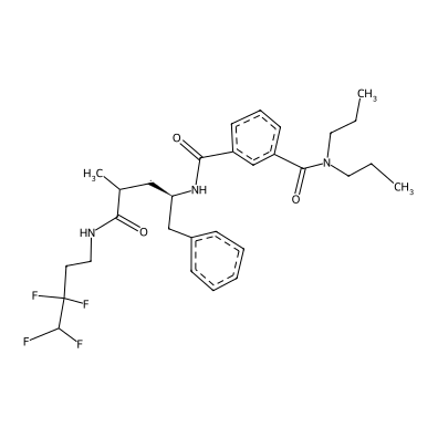 CCCN(CCC)C(=O)c1cccc(C(=O)N[C@H]([CH]C(C)C(=O)NCCC(F)(F)C(F)F)Cc2ccccc2)c1